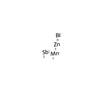 [Bi].[Mn].[Sb].[Zn]